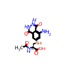 CC(=O)N[C@@H](CS)C(=O)O.Nc1cccc2c(=O)[nH][nH]c(=O)c12